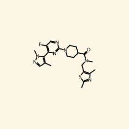 Cc1nc(C)c(CN(C)C(=O)C2CCN(c3ncc(F)c(-c4c(C)cnn4C)n3)CC2)s1